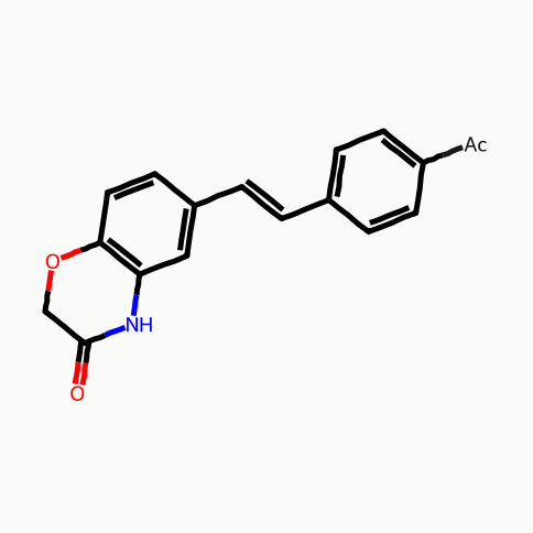 CC(=O)c1ccc(C=Cc2ccc3c(c2)NC(=O)CO3)cc1